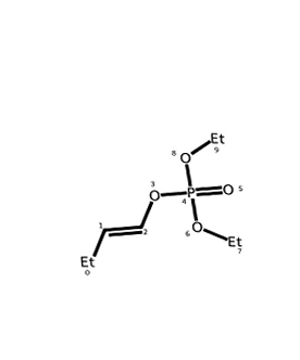 CCC=COP(=O)(OCC)OCC